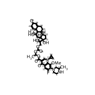 COc1c(N2CCNC(C)C2)c(F)cc2c(=O)c(C(=O)OC(C)OC(=O)OCC(=O)[C@]3(O)CC[C@@H]4[C@H]5CCC6=CC(=O)C=C[C@@]6(C)C5[C@H](O)C[C@]43C)cn(C3CC3)c12